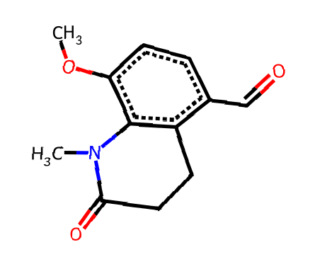 COc1ccc(C=O)c2c1N(C)C(=O)CC2